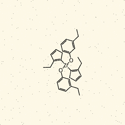 CCC1=[C]([Zr]([O]c2cccc(CC)c2)([O]c2cccc(CC)c2)[C]2=C(CC)C=CC2)CC=C1